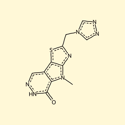 Cn1c2nc(Cn3cnnc3)sc2c2cn[nH]c(=O)c21